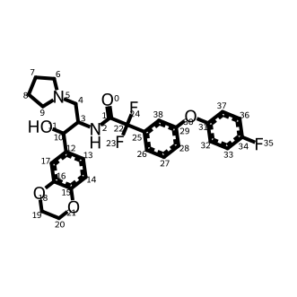 O=C(NC(CN1CCCC1)C(O)c1ccc2c(c1)OCCO2)C(F)(F)c1cccc(Oc2ccc(F)cc2)c1